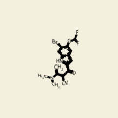 CC(C(C#N)C(=O)c1cc2cc(OC(F)F)c(Br)cc2[nH]1)N(C)C